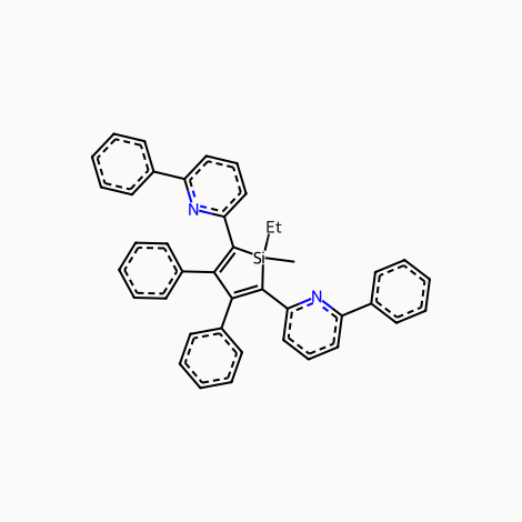 CC[Si]1(C)C(c2cccc(-c3ccccc3)n2)=C(c2ccccc2)C(c2ccccc2)=C1c1cccc(-c2ccccc2)n1